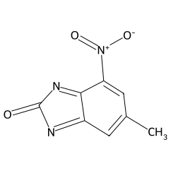 Cc1cc([N+](=O)[O-])c2c(c1)=NC(=O)N=2